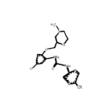 CN1CCOC(COc2ccc(Cl)cc2NC(=O)Nc2cnc(C#N)cn2)C1